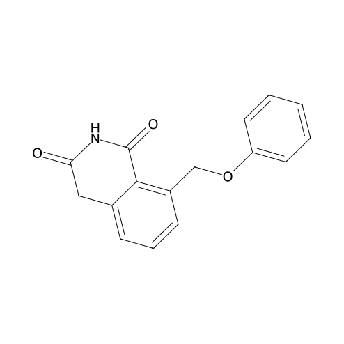 O=C1Cc2cccc(COc3ccccc3)c2C(=O)N1